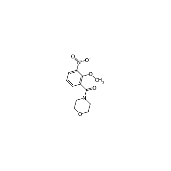 COc1c(C(=O)N2CCOCC2)cccc1[N+](=O)[O-]